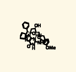 COc1ccc(CNC[C@H]2O[C@@](C(c3ccccc3)c3ccccc3)(n3cnc4c(=O)[nH]c(NC(=O)C(C)C)nc43)C[C@@H]2O)cc1